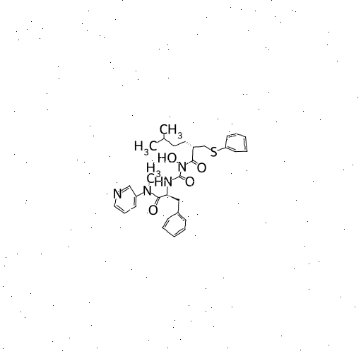 CC(C)CC[C@H](CSc1ccccc1)C(=O)N(O)C(=O)N[C@@H](Cc1ccccc1)C(=O)N(C)c1cccnc1